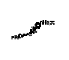 CCCCCCCc1ccc(-c2ncc(OCCCCOCCC)cn2)cc1